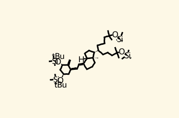 C=C1/C(=C\C=C2/CCC[C@]3(C)[C@@H](C(CCCC(C)(C)O[Si](C)(C)C)CCCC(C)(C)O[Si](C)(C)C)CC[C@@H]23)C[C@@H](O[Si](C)(C)C(C)(C)C)C[C@@H]1O[Si](C)(C)C(C)(C)C